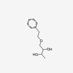 CC(O)C(O)COCCc1ccccc1